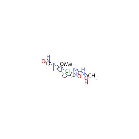 COc1nc(-c2cccc(-c3ccn4c(=O)c(CNCC(C)O)cnc4c3)c2Cl)ccc1CNC[C@@H]1CCC(=O)N1